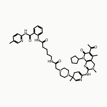 CC(=O)c1c(C)c2c(n(C3CCCC3)c1=O)N=C(NC1=CCC(C)(N3CCN(CC(=O)NCCCCC(=O)Nc4ccccc4C(=O)Nc4ccc(C)cn4)CC3)C=N1)N(C)C2